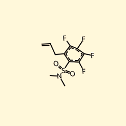 C=CCc1c(F)c(F)c(F)c(F)c1S(=O)(=O)N(C)C